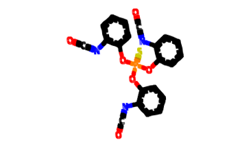 O=C=Nc1ccccc1OP(=S)(Oc1ccccc1N=C=O)Oc1ccccc1N=C=O